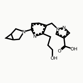 O=C(O)c1cnn(Cc2ccc(N3CC4CC4C3)nc2CCCO)c1